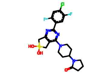 O=C1CCCN1C1CCN(c2nc(-c3cc(F)c(Cl)cc3F)nc3c2CS(O)(O)C3)CC1